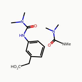 CN(C)C(=O)Nc1cccc(CC(=O)O)c1.CNC(=O)N(C)C